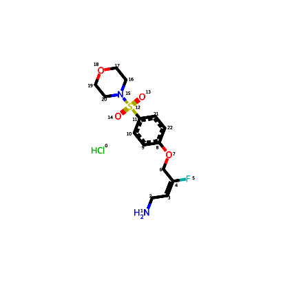 Cl.NC/C=C(/F)COc1ccc(S(=O)(=O)N2CCOCC2)cc1